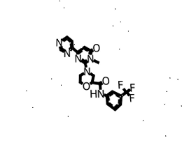 Cn1c(N2CCOC(C(=O)Nc3cccc(C(F)(F)F)c3)C2)nc(-c2ccncn2)cc1=O